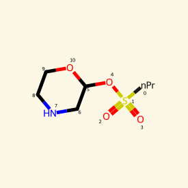 CCCS(=O)(=O)OC1CNCCO1